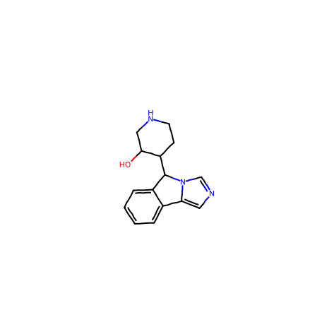 OC1CNCCC1C1c2ccccc2-c2cncn21